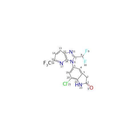 O=C1Cc2cc(-n3c(C(F)F)nc4ccc(C(F)(F)F)nc43)cc(Cl)c2N1